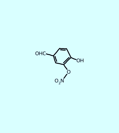 O=Cc1ccc(O)c(O[N+](=O)[O-])c1